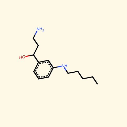 CCCCCNc1cccc(C(O)CCN)c1